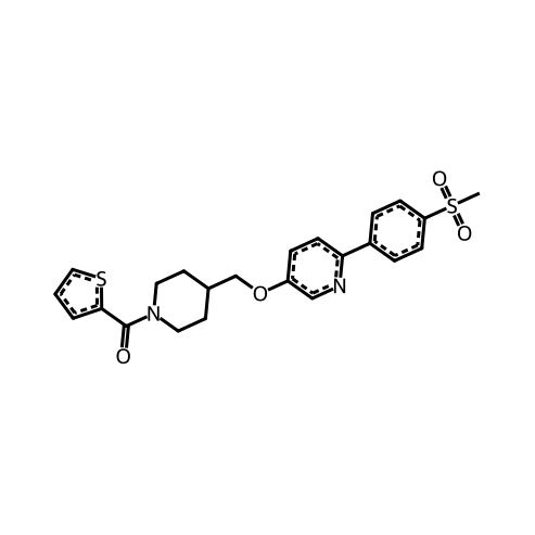 CS(=O)(=O)c1ccc(-c2ccc(OCC3CCN(C(=O)c4cccs4)CC3)cn2)cc1